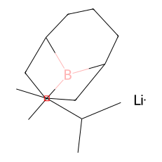 CC(C)C(C)(C)B1C2CCCC1CCC2.[Li]